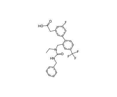 CCN(Cc1cc(C(F)(F)F)ccc1-c1cc(F)cc(CC(=O)O)c1)C(=O)NCc1ccccc1